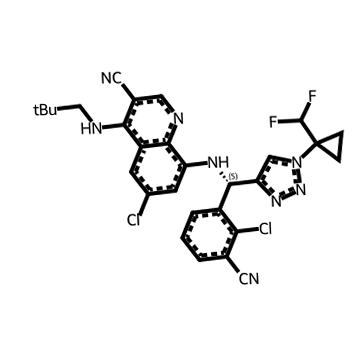 CC(C)(C)CNc1c(C#N)cnc2c(N[C@H](c3cn(C4(C(F)F)CC4)nn3)c3cccc(C#N)c3Cl)cc(Cl)cc12